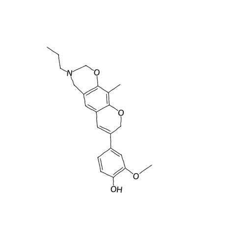 CCCN1COc2c(cc3c(c2C)OCC(c2ccc(O)c(OC)c2)=C3)C1